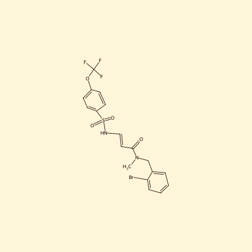 CN(Cc1ccccc1Br)C(=O)C=CNS(=O)(=O)c1ccc(OC(F)(F)F)cc1